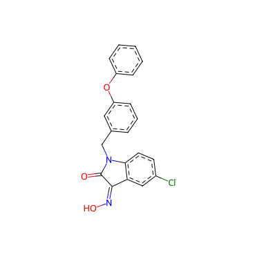 O=C1/C(=N\O)c2cc(Cl)ccc2N1Cc1cccc(Oc2ccccc2)c1